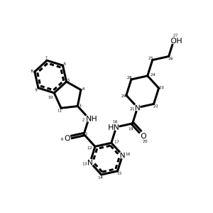 O=C(NC1Cc2ccccc2C1)c1nccnc1NC(=O)N1CCC(CCO)CC1